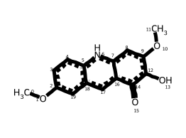 COc1ccc2[nH]c3cc(OC)c(O)c(=O)c-3cc2c1